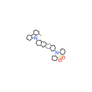 Cc1cccc2c3ccccc3n(-c3ccc4cc5c(cc4c3)Cc3ccc(N4c6ccccc6S(=O)(=O)c6ccccc64)cc3C5)c12